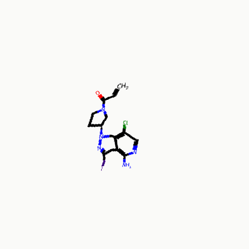 C=CC(=O)N1CC[C@H](n2nc(I)c3c(N)ncc(Cl)c32)C1